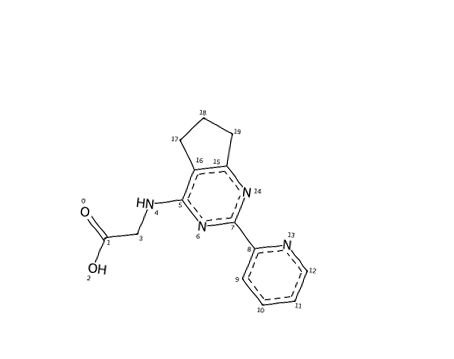 O=C(O)CNc1nc(-c2ccccn2)nc2c1CCC2